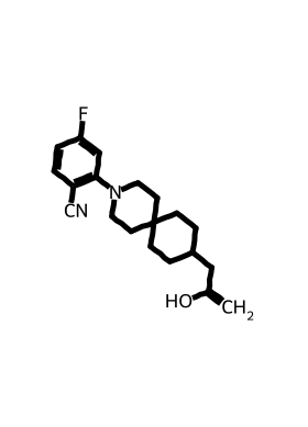 C=C(O)CC1CCC2(CC1)CCN(c1cc(F)ccc1C#N)CC2